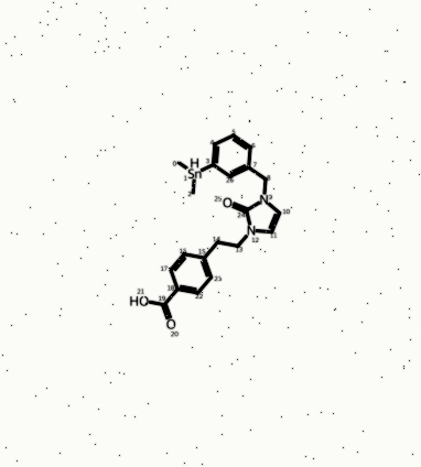 [CH3][SnH]([CH3])[c]1cccc(Cn2ccn(CCc3ccc(C(=O)O)cc3)c2=O)c1